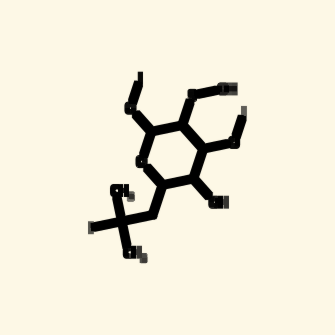 CC(C)(I)CC1OC(OI)C(SO)C(OI)C1O